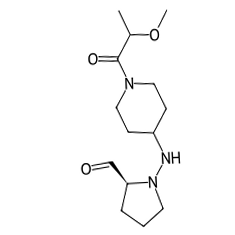 COC(C)C(=O)N1CCC(NN2CCC[C@H]2C=O)CC1